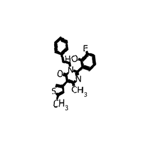 Cc1cc(-c2c(C)nc(-c3cccc(F)c3O)n(CCc3ccccc3)c2=O)cs1